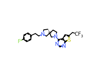 Fc1ccc(CCN2CC[C@@]3(CCN(c4ncnc5sc(CC(F)(F)F)cc45)C3)C2)cc1